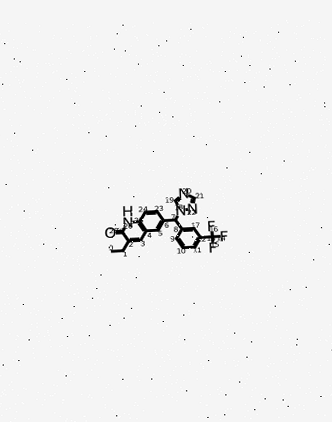 CCc1cc2cc(C(c3cccc(C(F)(F)F)c3)n3cncn3)ccc2[nH]c1=O